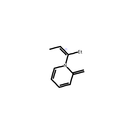 C=C1C=CC=CN1/C(=C\C)CC